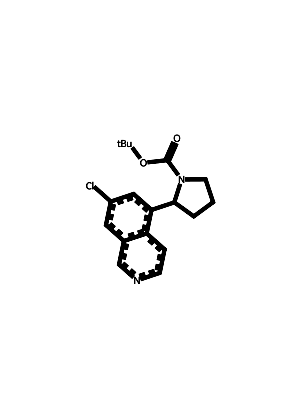 CC(C)(C)OC(=O)N1CCCC1c1cc(Cl)cc2cnccc12